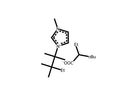 CCC(C)(C)C(C)(C)[n+]1ccn(C)c1.CCCCC(CC)C(=O)[O-]